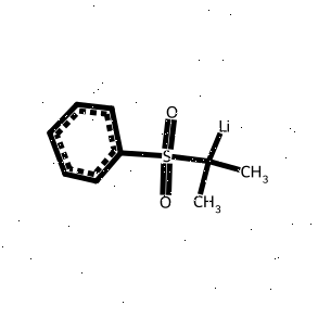 [Li][C](C)(C)S(=O)(=O)c1ccccc1